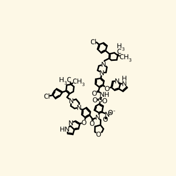 CC1(C)CCC(CN2CCN(c3ccc(C(=O)NS(=O)(=O)c4ccc(N(CC5CCOCC5)C(=O)c5ccc(N6CCN(CC7=C(c8ccc(Cl)cc8)CC(C)(C)CC7)CC6)cc5Oc5cnc6[nH]ccc6c5)c([N+](=O)[O-])c4)c(Oc4cnc5[nH]ccc5c4)c3)CC2)=C(c2ccc(Cl)cc2)C1